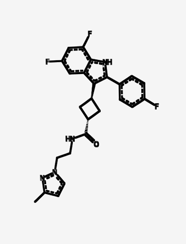 Cc1ccn(CCNC(=O)[C@H]2C[C@H](c3c(-c4ccc(F)cc4)[nH]c4c(F)cc(F)cc43)C2)n1